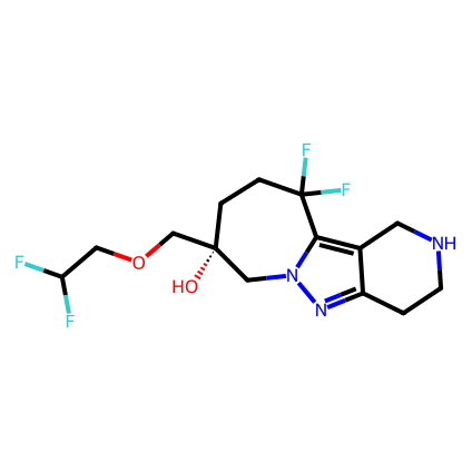 O[C@]1(COCC(F)F)CCC(F)(F)c2c3c(nn2C1)CCNC3